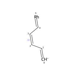 [CH-]=C/C=C\[CH]=[Rh]